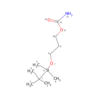 CC(C)(C)[Si](C)(C)OCCCOC(N)=O